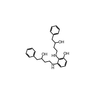 Oc1cccc(NCCC(O)Cc2ccccc2)c1NCCC(O)Cc1ccccc1